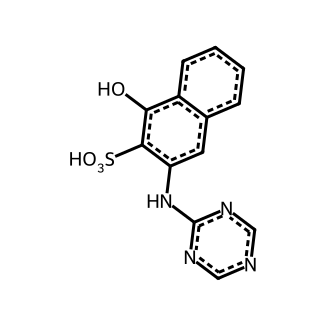 O=S(=O)(O)c1c(Nc2ncncn2)cc2ccccc2c1O